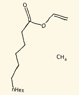 C.C=COC(=O)CCCCCCCCCCC